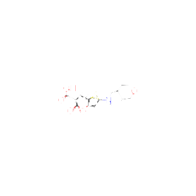 CN(CC1CCOCC1)c1cc2oc(=O)c(C(=O)O)cc2s1